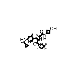 Cc1cc(N[C@H](C)C2CC2)ncc1-c1sc(C(=O)N[C@H]2C[C@H](O)C2)nc1C(=O)N1CC(F)(F)C[C@@H]1C